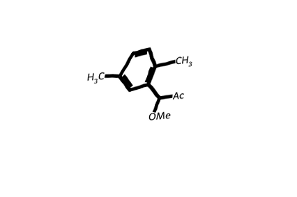 COC(C(C)=O)c1cc(C)ccc1C